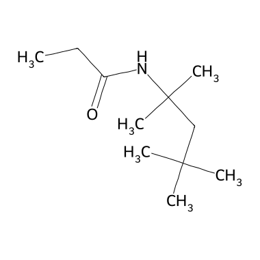 CCC(=O)NC(C)(C)CC(C)(C)C